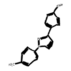 COc1ccc(-c2ccn(-c3ccc(C(=O)O)cc3)n2)cc1